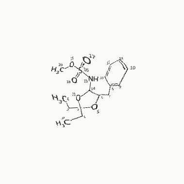 CCC1(CC)OC(Cc2ccccc2)C(NS(=O)(=O)OC)O1